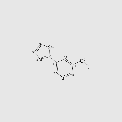 COc1cccc(-c2nc[c]s2)c1